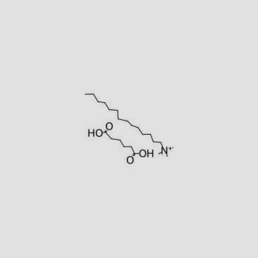 CCCCCCCCCCCCCC[N+](C)(C)C.O=C(O)CCCCC(=O)O